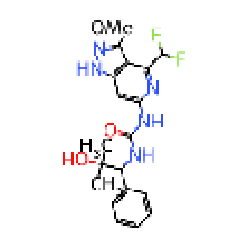 COc1n[nH]c2cc(NC(=O)N[C@@H](c3ccccc3)C(C)(C)O)nc(C(F)F)c12